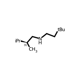 CC(C)[C@H](C)CNCCC(C)(C)C